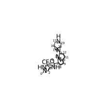 CN1C=C(NC(=O)c2ccc3ccc(N4CC5CNCC4C5)nn23)C(C(F)(F)F)N1